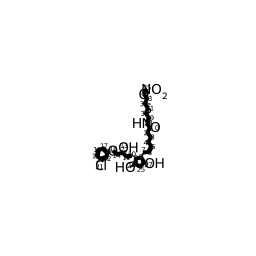 O=C(CCC/C=C\C[C@@H]1[C@@H](/C=C/[C@@H](O)COc2cccc(Cl)c2)[C@H](O)C[C@@H]1O)NCCSCCO[N+](=O)[O-]